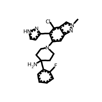 Cn1cc2c(Cl)c(-c3cc[nH]n3)c(N3CCC(N)(c4ccccc4F)CC3)cc2n1